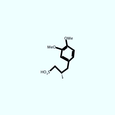 COc1ccc(C[C@H](C)CS(=O)(=O)O)cc1OC